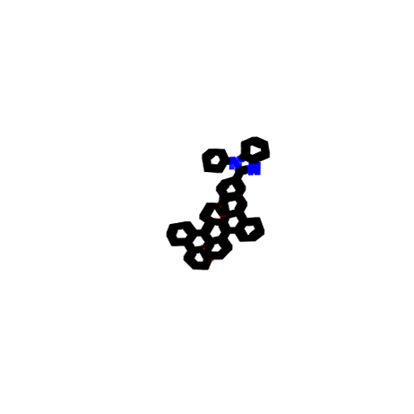 C1=CCC(n2c(-c3ccc(-c4ccc5c(-c6ccccc6-c6ccccc6)c6ccccc6c(-c6ccccc6-c6ccccc6)c5c4)cc3)nc3ccccc32)C=C1